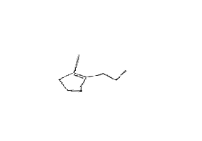 CCCC1=C(C)CCC1